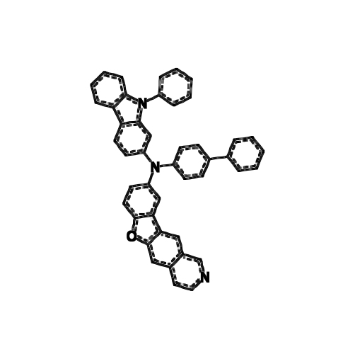 c1ccc(-c2ccc(N(c3ccc4oc5cc6ccncc6cc5c4c3)c3ccc4c5ccccc5n(-c5ccccc5)c4c3)cc2)cc1